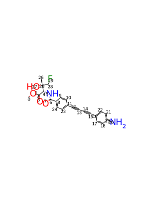 COC(=O)[C@@H](NC(=O)c1ccc(C#CC#Cc2ccc(N)cc2)cc1)[C@](C)(O)CF